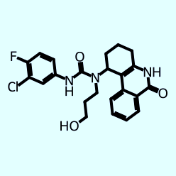 O=C(Nc1ccc(F)c(Cl)c1)N(CCCO)C1CCCc2[nH]c(=O)c3ccccc3c21